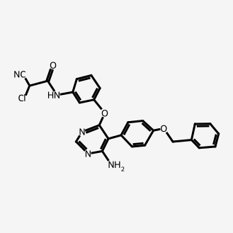 N#CC(Cl)C(=O)Nc1cccc(Oc2ncnc(N)c2-c2ccc(OCc3ccccc3)cc2)c1